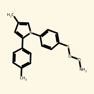 Cc1ccc(-c2cc(C)cn2-c2ccc(SOON)cc2)cc1